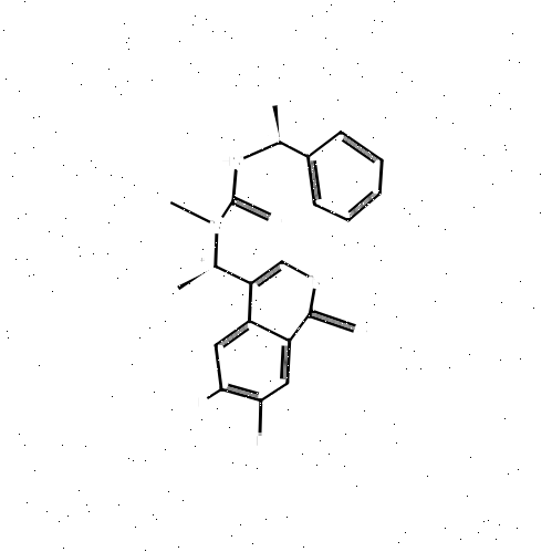 C[C@H](NC(=O)N(C)[C@H](C)c1c[nH]c(=O)c2cc(F)c(F)cc12)c1ccccc1